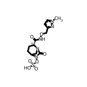 Cn1ccc(CONC(=O)[C@@H]2CCC3CN2C(=O)N3OS(=O)(=O)O)n1